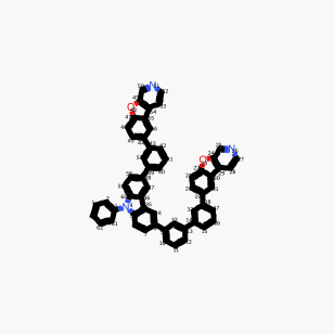 c1ccc(-n2c3ccc(-c4cccc(-c5cccc(-c6ccc7oc8cnccc8c7c6)c5)c4)cc3c3cc(-c4cccc(-c5ccc6oc7cnccc7c6c5)c4)ccc32)cc1